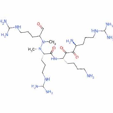 CN(C(C=O)CCCNC(N)N)N(C)[C@@H](CCCNC(N)N)C(=O)N[C@@H](CCCCN)C(=O)C(=O)[C@@H](N)CCCNC(N)N